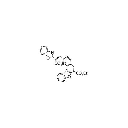 CCOC(=O)C(=Cc1ccc(C=C(C(=O)OCC)c2nc3ccccc3o2)cc1)c1nc2ccccc2o1